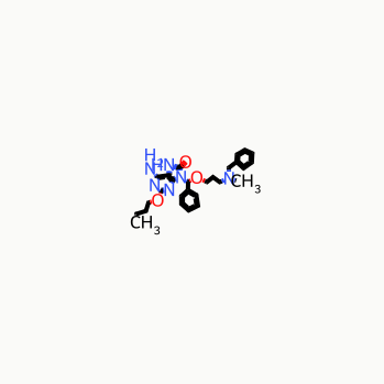 CCCCOc1nc(N)c2[nH]c(=O)n(C(OCCCN(C)Cc3ccccc3)c3ccccc3)c2n1